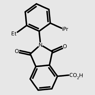 CCc1cccc(C(C)C)c1N1C(=O)c2cccc(C(=O)O)c2C1=O